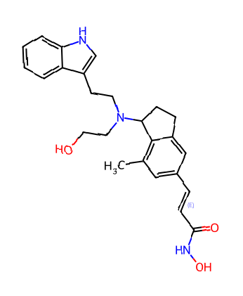 Cc1cc(/C=C/C(=O)NO)cc2c1C(N(CCO)CCc1c[nH]c3ccccc13)CC2